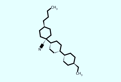 CCCC[C@H]1CC[C@@](C#N)([C@H]2CC[C@@H]([C@H]3CC[C@H](CC)CC3)CC2)CC1